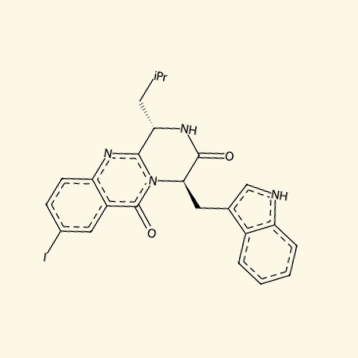 CC(C)C[C@@H]1NC(=O)[C@@H](Cc2c[nH]c3ccccc23)n2c1nc1ccc(I)cc1c2=O